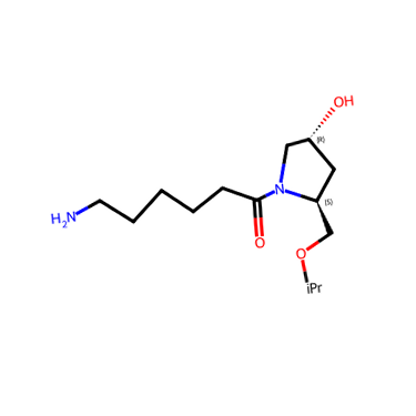 CC(C)OC[C@@H]1C[C@@H](O)CN1C(=O)CCCCCN